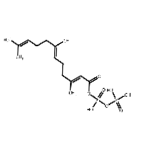 CC(C)=CCCC(C)=CCCC(C)=CC(=O)OP(=O)(O)OP(=O)(O)O